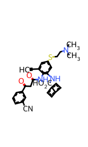 C#Cc1cc(SCCN(C)C)cc(NC(=O)O)c1NC(=O)CC(=O)c1cccc(C#N)c1.c1cc2ccc1-2